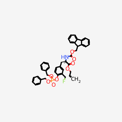 C=CCOC(=O)[C@@H](Cc1ccc(OP(=O)(OCc2ccccc2)OCc2ccccc2)c(CF)c1)NC(=O)OCC1c2ccccc2-c2ccccc21